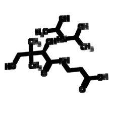 CC(C)(CO)[C@@H](O)C(=O)NCCC(=O)O.CC(O)NC(C)O